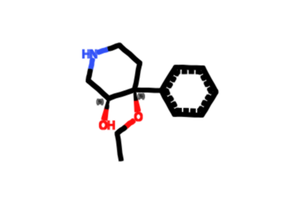 CCO[C@]1(c2ccccc2)CCNC[C@@H]1O